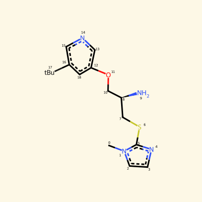 Cn1ccnc1SC[C@H](N)COc1cncc(C(C)(C)C)c1